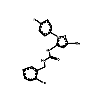 CC(C)c1ccc(-n2nc(C(C)(C)C)cc2NC(=O)NCc2ccccc2O)cc1